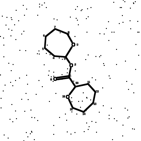 O=C(OC1CCCCCO1)C1CCCCCO1